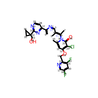 C=C(/N=C\C(C)=C(/C)n1c(C)cc(OCc2ncc(F)cc2F)c(Cl)c1=O)c1ccnc(C2(CO)CC2)n1